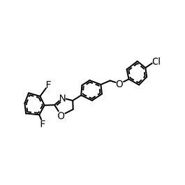 Fc1cccc(F)c1C1=NC(c2ccc(COc3ccc(Cl)cc3)cc2)CO1